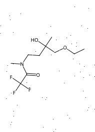 CCOCC(C)(O)CCN(C)C(=O)C(F)(F)F